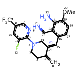 C=C1CCN(c2ncc(C(F)(F)F)cc2F)C/C1=C\c1ccc(OC)c(N)c1C=N